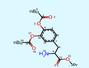 CCCCC(=O)Oc1ccc(CC(N)C(=O)OC(C)C)cc1OC(=O)CCCC